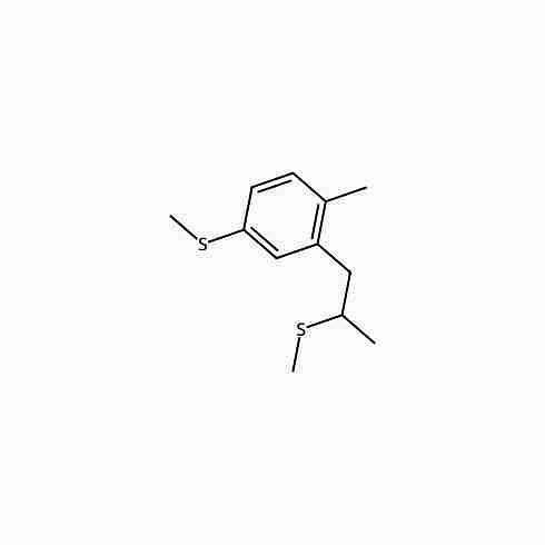 CSc1ccc(C)c(CC(C)SC)c1